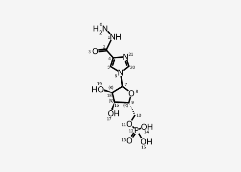 NNC(=O)c1cn(C2O[C@H](COP(=O)(O)O)[C@@H](O)[C@H]2O)cn1